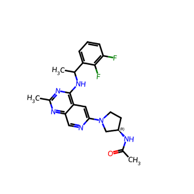 CC(=O)N[C@@H]1CCN(c2cc3c(NC(C)c4cccc(F)c4F)nc(C)nc3cn2)C1